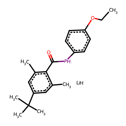 CCOc1ccc(PC(=O)c2c(C)cc(C(C)(C)C)cc2C)cc1.[LiH]